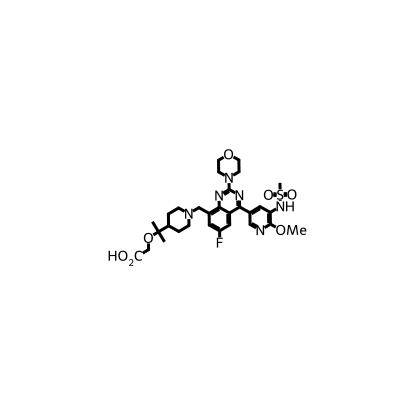 COc1ncc(-c2nc(N3CCOCC3)nc3c(CN4CCC(C(C)(C)OCC(=O)O)CC4)cc(F)cc23)cc1NS(C)(=O)=O